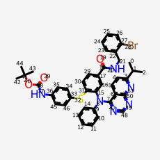 CC(C)c1ccc2c(N(c3ccccc3)c3cc(C(=O)NCc4ccccc4Br)ccc3Sc3ccc(NC(=O)OC(C)(C)C)cc3)ncnc2n1